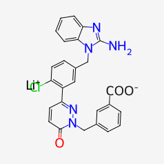 Nc1nc2ccccc2n1Cc1ccc(Cl)c(-c2ccc(=O)n(Cc3cccc(C(=O)[O-])c3)n2)c1.[Li+]